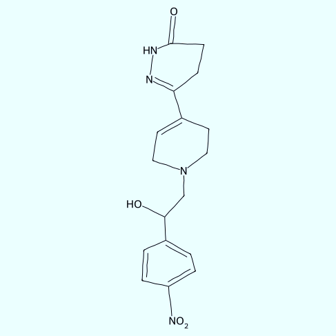 O=C1CCC(C2=CCN(CC(O)c3ccc([N+](=O)[O-])cc3)CC2)=NN1